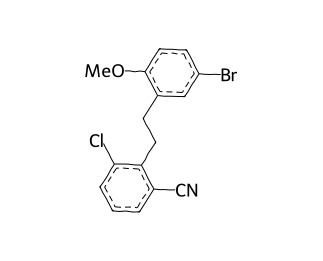 COc1ccc(Br)cc1CCc1c(Cl)cccc1C#N